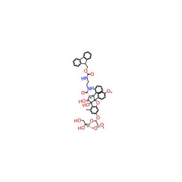 COc1ccc([C@@]23Oc4cc(OC5O[C@@H]([C@H](O)CO)CO[C@H]5OC)cc(C)c4[C@]2(O)[C@H](O)[C@H](C(=O)NCCNC(=O)OCC2c4ccccc4-c4ccccc42)[C@H]3c2ccccc2)cc1